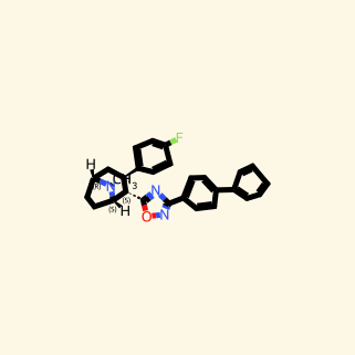 CN1[C@@H]2CC[C@H]1[C@@H](c1nc(-c3ccc(-c4ccccc4)cc3)no1)[C@H](c1ccc(F)cc1)C2